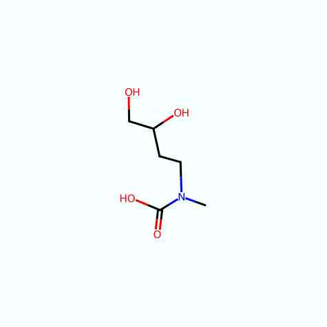 CN(CCC(O)CO)C(=O)O